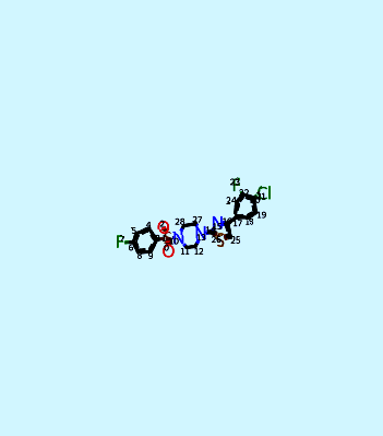 O=S(=O)(c1ccc(F)cc1)N1CCN(c2nc(-c3ccc(Cl)c(F)c3)cs2)CC1